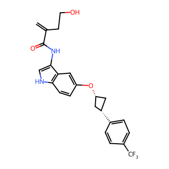 C=C(CCO)C(=O)Nc1c[nH]c2ccc(O[C@H]3C[C@@H](c4ccc(C(F)(F)F)cc4)C3)cc12